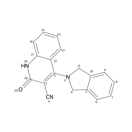 N#Cc1c(N2Cc3ccccc3C2)c2ccccc2[nH]c1=O